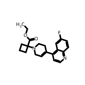 CCOC(=O)C1(N2CC=C(c3ccnc4ccc(F)cc34)CC2)CCC1